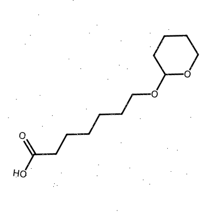 O=C(O)CCCCCCOC1CCCCO1